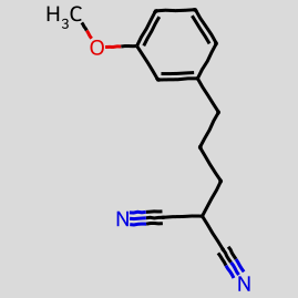 COc1cccc(CCCC(C#N)C#N)c1